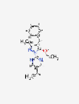 CCOc1c(Cc2ccccc2)c(C)nn1-c1ncc(CC)cn1